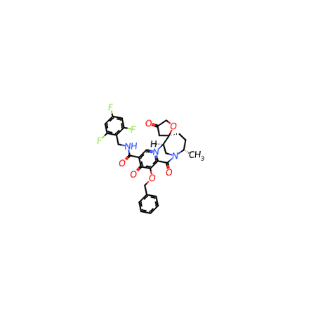 C[C@H]1CC[C@@]2(CC(=O)CO2)[C@H]2CN1C(=O)c1c(OCc3ccccc3)c(=O)c(C(=O)NCc3c(F)cc(F)cc3F)cn12